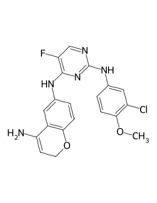 COc1ccc(Nc2ncc(F)c(Nc3ccc4c(c3)C(N)=CCO4)n2)cc1Cl